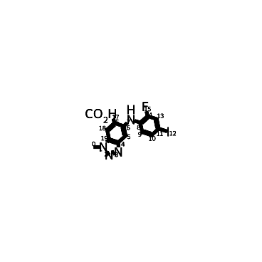 Cn1nnc2cc(Nc3ccc(I)cc3F)c(C(=O)O)cc21